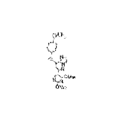 COc1ncc(-c2cc([C@H]3C[C@@H]3c3ccc(OC(F)(F)F)cn3)c3nccn3n2)c(OC)n1